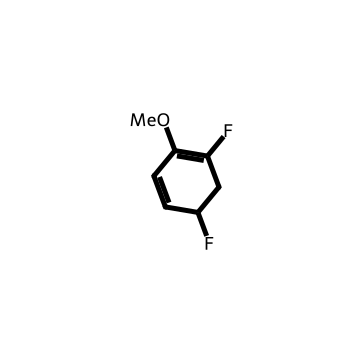 COC1=C(F)CC(F)C=C1